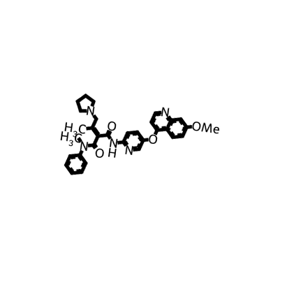 COc1ccc2c(Oc3ccc(NC(=O)/C(C(=O)N(C)c4ccccc4)=C(/C)CN4CCCC4)nc3)ccnc2c1